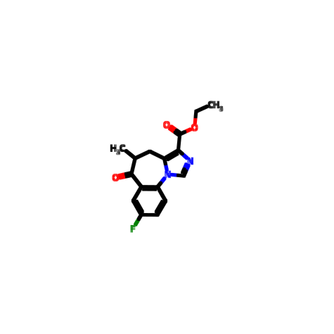 CCOC(=O)c1ncn2c1CC(C)C(=O)c1cc(F)ccc1-2